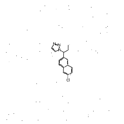 [CH2]CC(c1ccc2cc(Cl)ccc2c1)n1ccnn1